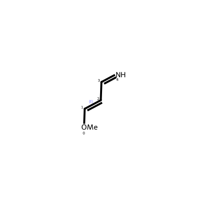 CO/C=C/C=N